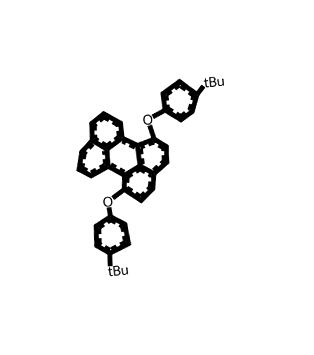 CC(C)(C)c1ccc(Oc2ccc3ccc(Oc4ccc(C(C)(C)C)cc4)c4c5cccc6cccc(c2c34)c65)cc1